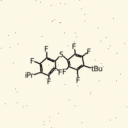 CC(C)c1c(F)c(F)c(Sc2c(F)c(F)c(C(C)(C)C)c(F)c2F)c(F)c1F